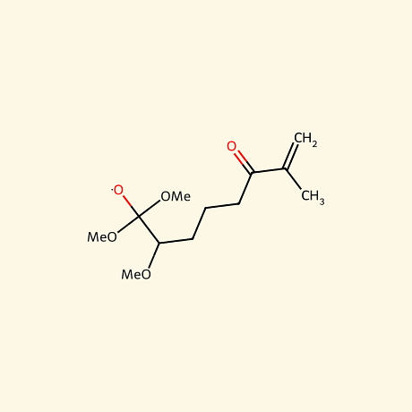 C=C(C)C(=O)CCCC(OC)C([O])(OC)OC